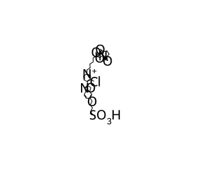 O=C(CCCCC[n+]1ccc(-c2nc3ccc(OCCCS(=O)(=O)O)cc3o2)c(Cl)c1)ON1C(=O)CCC1=O